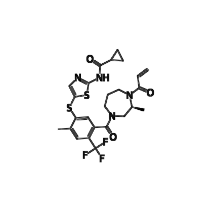 C=CC(=O)N1CCCN(C(=O)c2cc(Sc3cnc(NC(=O)C4CC4)s3)c(C)cc2C(F)(F)F)C[C@@H]1C